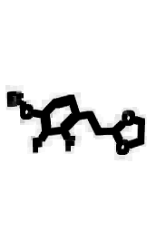 CCOc1ccc(CCC2OCCO2)c(F)c1F